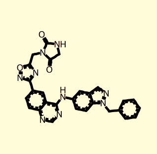 O=C1CNC(=O)N1Cc1nc(-c2ccc3ncnc(Nc4ccc5c(cnn5Cc5ccccc5)c4)c3c2)no1